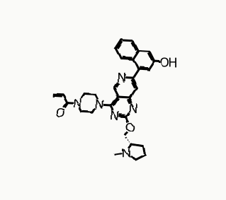 C=CC(=O)N1CCN(c2nc(OC[C@@H]3CCCN3C)nc3cc(-c4cc(O)cc5ccccc45)ncc23)CC1